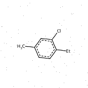 [CH2]Cc1ccc(C)cc1Cl